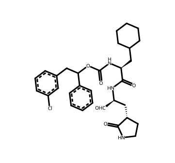 O=C[C@H](C[C@@H]1CCNC1=O)NC(=O)[C@H](CC1CCCCC1)NC(=O)OC(Cc1cccc(Cl)c1)c1ccccc1